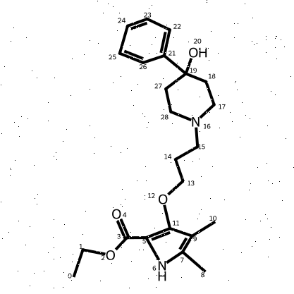 CCOC(=O)c1[nH]c(C)c(C)c1OCCCN1CCC(O)(c2ccccc2)CC1